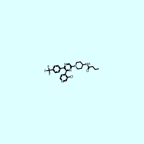 CCCC(=O)NC1CCN(c2cnc(-c3ccc(C(F)(F)F)cc3)c(-c3ccncc3Cl)n2)CC1